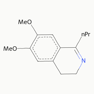 CCCC1=NCCc2cc(OC)c(OC)cc21